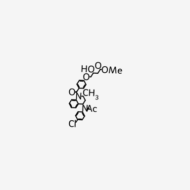 COC(=O)C[C@@H](O)COc1ccc(C(=O)N2c3ccccc3C(N(C(C)=O)c3ccc(Cl)cc3)CC2C)cc1